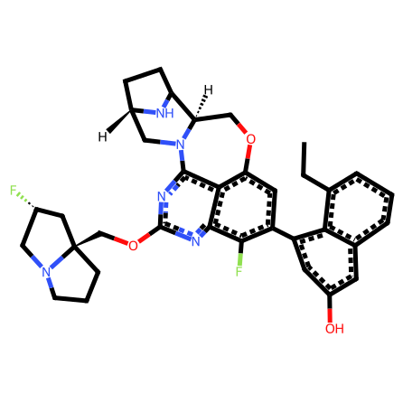 CCc1cccc2cc(O)cc(-c3cc4c5c(nc(OC[C@@]67CCCN6C[C@H](F)C7)nc5c3F)N3C[C@@H]5CCC(N5)[C@H]3CO4)c12